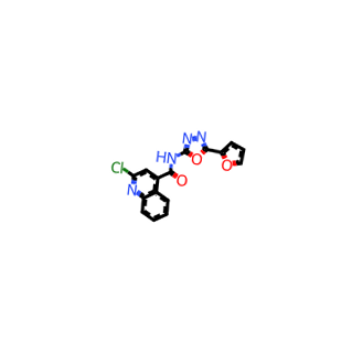 O=C(Nc1nnc(-c2ccco2)o1)c1cc(Cl)nc2ccccc12